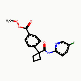 COOC(=O)c1ccc(C2(C(=O)Nc3ccc(F)cn3)CCC2)cc1